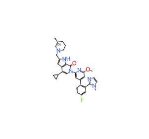 COc1cc(-c2ccc(F)cc2-c2nccn2C)cc(-n2cc(C3CC3)c3cc(CN4CCC[C@H](C)C4)[nH]c3c2=O)n1